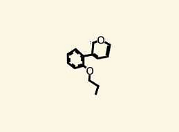 CCCOc1ccccc1C1=CC=CO[C]1